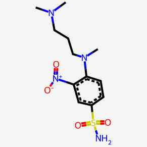 CN(C)CCCN(C)c1ccc(S(N)(=O)=O)cc1[N+](=O)[O-]